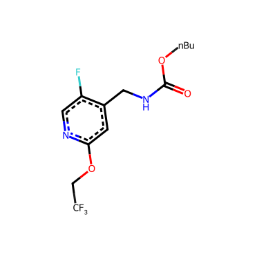 CCCCOC(=O)NCc1cc(OCC(F)(F)F)ncc1F